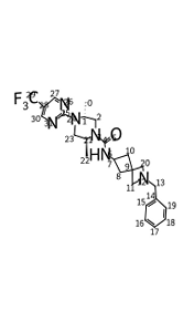 C[C@@H]1CN(C(=O)NC2CC3(C2)CN(Cc2ccccc2)C3)[C@@H](C)CN1c1ncc(C(F)(F)F)cn1